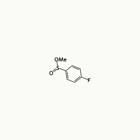 COS(=O)c1ccc(F)cc1